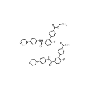 CCOC(=O)c1ccc(-c2cc(C(=O)Nc3ccc(N4CCOCC4)cc3)ccc2F)cc1.O=C(O)c1ccc(-c2cc(C(=O)Nc3ccc(N4CCOCC4)cc3)ccc2F)cc1